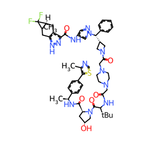 Cc1ncsc1-c1ccc([C@H](C)NC(=O)[C@@H]2C[C@@H](O)CN2C(=O)C(NC(=O)CN2CCN(CC(=O)N3CC([C@@H](c4ccccc4)n4cc(NC(=O)c5n[nH]c6c5C[C@@H]5C(F)(F)[C@]5(C)C6)cn4)C3)CC2)C(C)(C)C)cc1